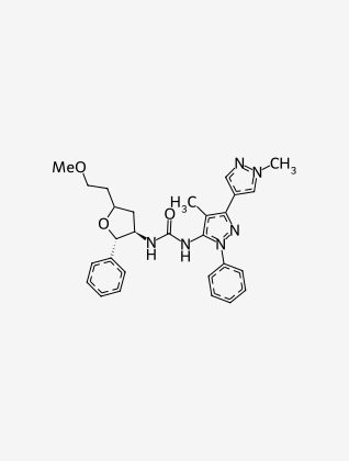 COCCC1C[C@@H](NC(=O)Nc2c(C)c(-c3cnn(C)c3)nn2-c2ccccc2)[C@H](c2ccccc2)O1